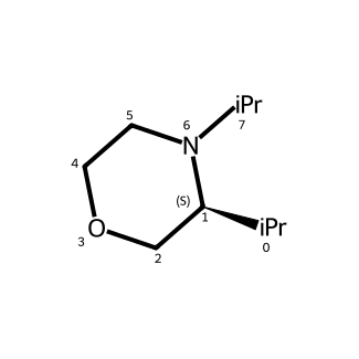 CC(C)[C@H]1COCCN1C(C)C